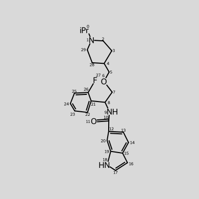 CC(C)N1CCC(COCC(NC(=O)c2ccc3cc[nH]c3c2)c2ccccc2F)CC1